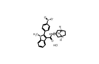 CN1[C@@H]2CC[C@H]1C[C@@H](NC(=O)c1c(-c3ccc([N+](=O)[O-])cc3)n(C)c3ccccc13)C2.Cl